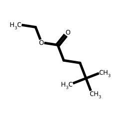 CCOC(=O)CCC(C)(C)C